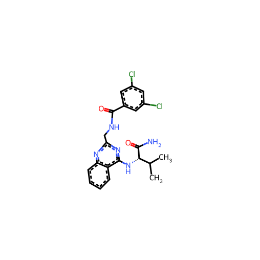 CC(C)[C@H](Nc1nc(CNC(=O)c2cc(Cl)cc(Cl)c2)nc2ccccc12)C(N)=O